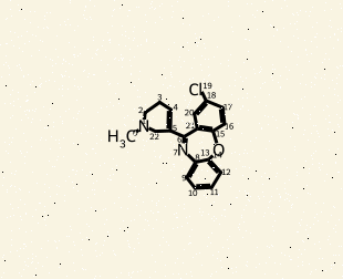 CN1CCC=C(C2=Nc3ccccc3Oc3ccc(Cl)cc32)C1